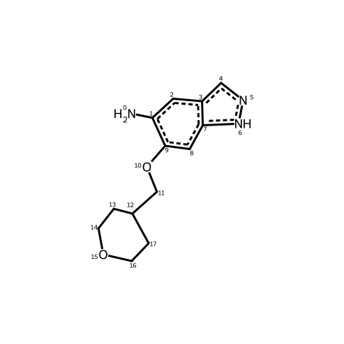 Nc1cc2cn[nH]c2cc1OCC1CCOCC1